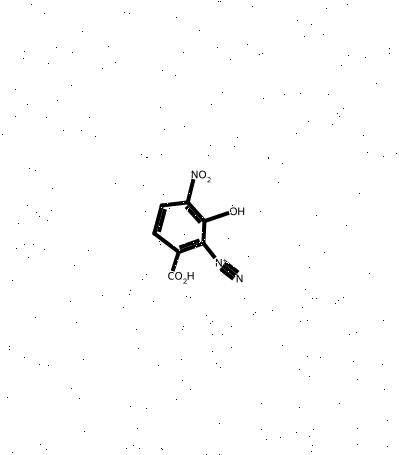 N#[N+]c1c(C(=O)O)ccc([N+](=O)[O-])c1O